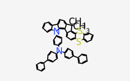 CC1(C)c2ccc3c4ccccc4n(-c4ccc(N(c5ccc(-c6ccccc6)cc5)c5ccc(-c6ccccc6)cc5)cc4)c3c2-c2ccc3c(c21)Sc1ccccc1S3